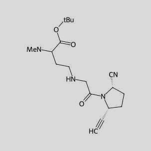 C#C[C@H]1CC[C@@H](C#N)N1C(=O)CNCCC(NC)C(=O)OC(C)(C)C